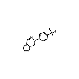 FC(F)(F)c1ccc(-c2cn3ccnc3cn2)cc1